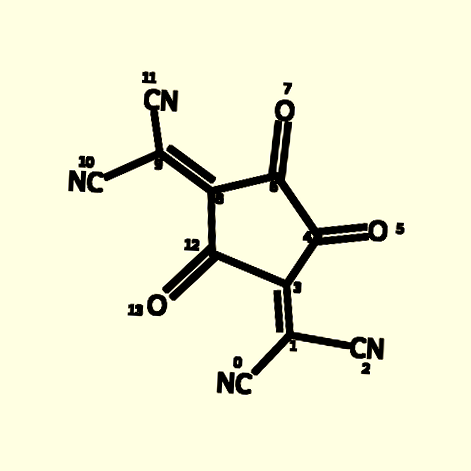 N#CC(C#N)=c1c(=O)c(=O)c(=C(C#N)C#N)c1=O